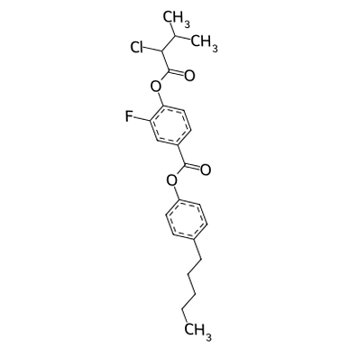 CCCCCc1ccc(OC(=O)c2ccc(OC(=O)C(Cl)C(C)C)c(F)c2)cc1